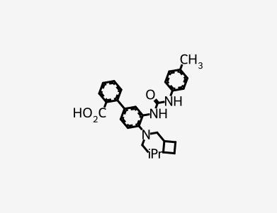 Cc1ccc(NC(=O)Nc2cc(-c3ccccc3C(=O)O)ccc2N(CC(C)C)CC2CCC2)cc1